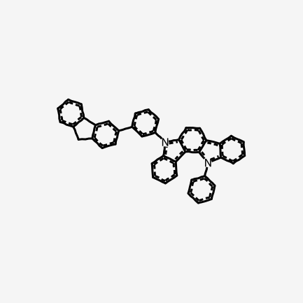 c1ccc(-n2c3ccccc3c3ccc4c(c5ccccc5n4-c4cccc(-c5ccc6c(c5)-c5ccccc5C6)c4)c32)cc1